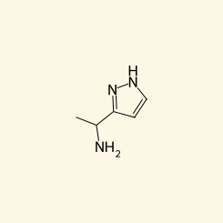 CC(N)c1cc[nH]n1